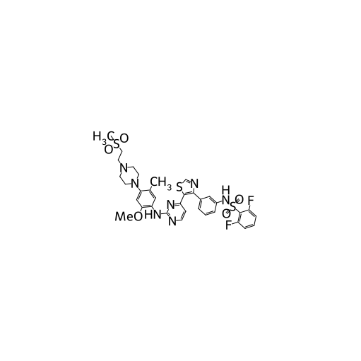 COc1cc(N2CCN(CCS(C)(=O)=O)CC2)c(C)cc1Nc1nccc(-c2scnc2-c2cccc(NS(=O)(=O)c3c(F)cccc3F)c2)n1